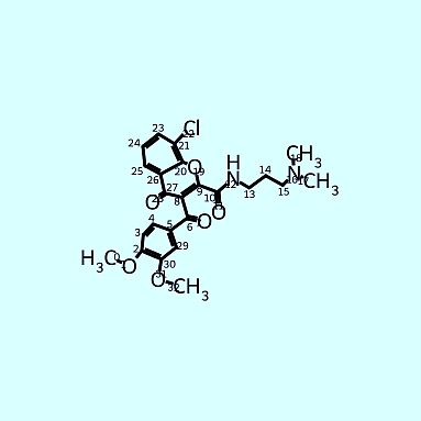 COc1ccc(C(=O)c2c(C(=O)NCCCN(C)C)oc3c(Cl)cccc3c2=O)cc1OC